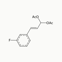 CC(=O)OC(/C=C/c1cccc(F)c1)OC(C)=O